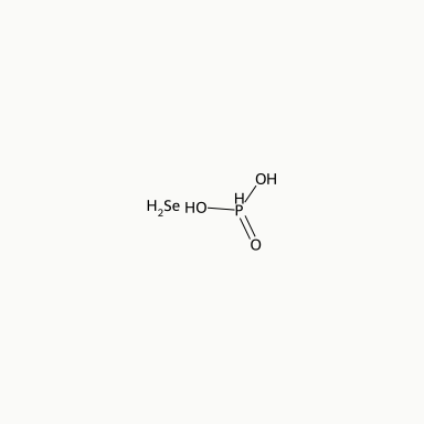 O=[PH](O)O.[SeH2]